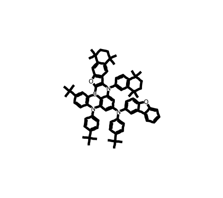 CC(C)(C)c1ccc(N(c2cc3c4c(c2)N(c2ccc5c(c2)C(C)(C)CCC5(C)C)c2c(oc5cc6c(cc25)C(C)(C)CCC6(C)C)B4c2cc(C(C)(C)C)ccc2N3c2ccc(C(C)(C)C)cc2)c2ccc3oc4ccccc4c3c2)cc1